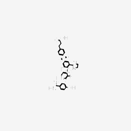 CN1CC=NC1c1cc(S(=O)(=O)c2ccc(CCC(=O)O)cc2)ccc1Oc1c(F)cnc(Oc2cc(C(=N)N)ccc2O)c1F